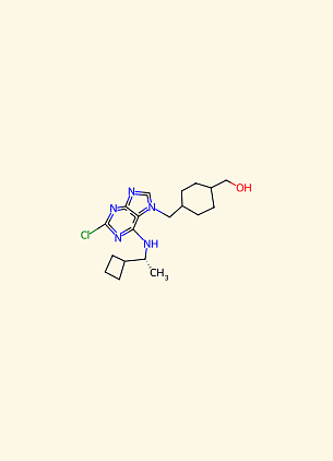 C[C@@H](Nc1nc(Cl)nc2ncn(CC3CCC(CO)CC3)c12)C1CCC1